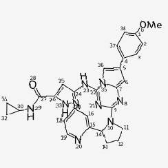 COc1ccc(-c2cc3nc(N4CCCC4c4ccccn4)nc(Nc4cc(C(=O)NC5CC5)[nH]n4)n3c2)cc1